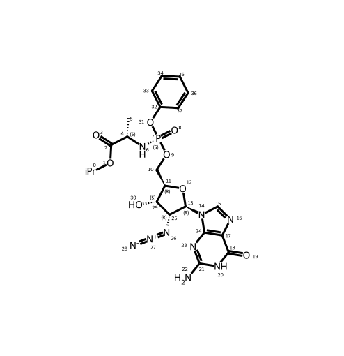 CC(C)OC(=O)[C@H](C)N[P@](=O)(OC[C@H]1O[C@@H](n2cnc3c(=O)[nH]c(N)nc32)[C@H](N=[N+]=[N-])[C@@H]1O)Oc1ccccc1